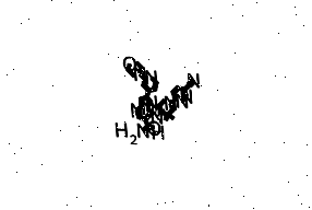 CC1(C)CN(c2ccc(C#N)nn2)CC[C@H]1Nc1c(C(N)=O)cnc2cc(-c3ccnc(N4CCOCC4)c3)nn12